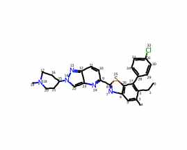 CCc1c(C)cc2nc(-c3ccc4nn(C5CCN(C)CC5)cc4n3)sc2c1-c1ccc(Cl)cc1